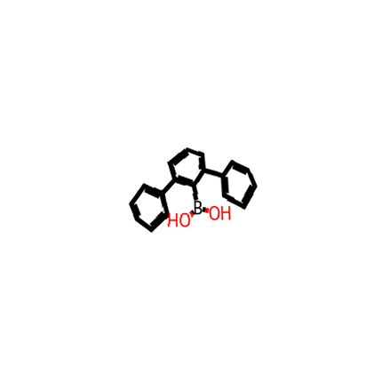 OB(O)c1c(-c2ccccc2)cccc1-c1ccccc1